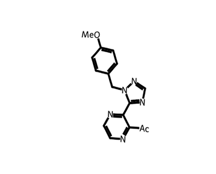 COc1ccc(Cn2ncnc2-c2nccnc2C(C)=O)cc1